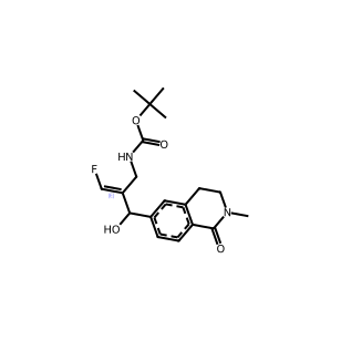 CN1CCc2cc(C(O)/C(=C/F)CNC(=O)OC(C)(C)C)ccc2C1=O